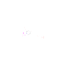 CCC(CCOc1ccc([N+](=O)[O-])c(C=O)c1)C(=O)O